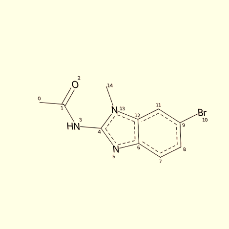 CC(=O)Nc1nc2ccc(Br)cc2n1C